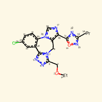 CCOCc1nnc2n1Cc1c(-c3nc(C(C)C)no3)ncn1-c1ccc(Cl)cc1-2